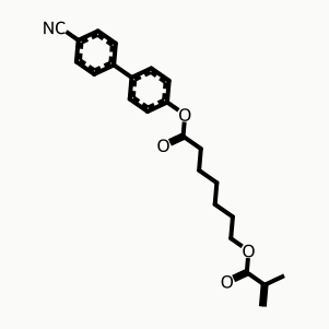 C=C(C)C(=O)OCCCCCCC(=O)Oc1ccc(-c2ccc(C#N)cc2)cc1